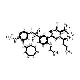 C=C(CCC)N1N=C(c2cc(S(=O)(=O)Nc3ccc(OC)c(OC4CCCCCC4)c3)ccc2OCC)NC(=O)/C1=C(\C)N